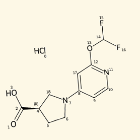 Cl.O=C(O)[C@@H]1CCN(c2ccnc(OC(F)F)c2)C1